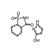 O=C1NS(=O)(=O)c2ccccc21.Oc1cc[nH]n1